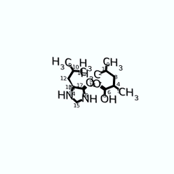 CC(C)CC(C)C(=O)O.CC(C)C[C@@H]1NCNC1=O